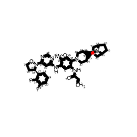 C=CC(=O)Nc1cc(Nc2cc(N3OCC[C@@H]3c3cccc(F)c3F)ncn2)c(OC)cc1N1CCC(N2CC3CCC(C2)N3C2CC2)CC1